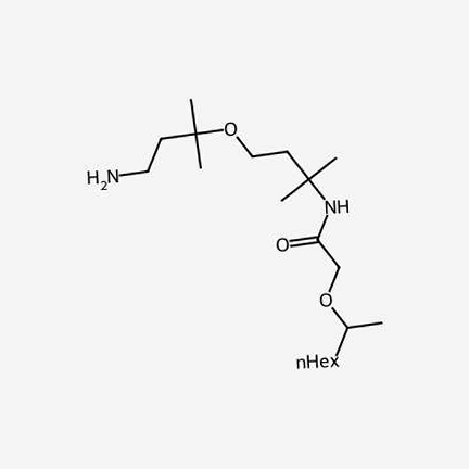 CCCCCCC(C)OCC(=O)NC(C)(C)CCOC(C)(C)CCN